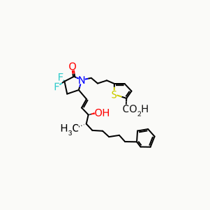 C[C@@H](CCCCCc1ccccc1)[C@H](O)/C=C/C1CC(F)(F)C(=O)N1CCCc1ccc(C(=O)O)s1